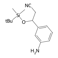 CC(C)(C)[Si](C)(C)OC(CC#N)c1cccc(N)c1